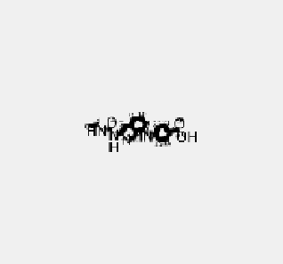 CCNC(=O)Nc1cc2cccc(Nc3ccc(C(=O)O)cc3)c2cn1